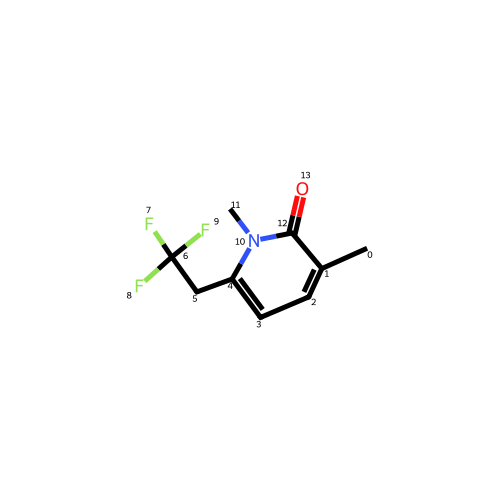 Cc1ccc(CC(F)(F)F)n(C)c1=O